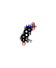 CC(C)C1=C2[C@H]3CC[C@@H]4[C@@]5(C)CCC(NS(C)(=O)=O)C(C)(C)[C@@H]5CC[C@@]4(C)[C@]3(C)CC[C@@]2(C)CC1=O